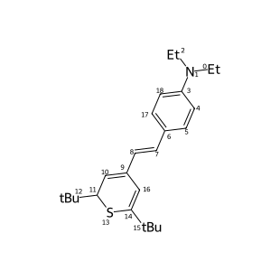 CCN(CC)c1ccc(C=CC2=CC(C(C)(C)C)SC(C(C)(C)C)=C2)cc1